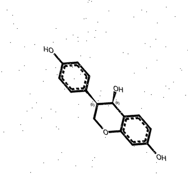 Oc1ccc([C@@H]2COc3cc(O)ccc3[C@@H]2O)cc1